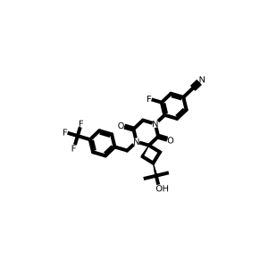 CC(C)(O)[C@H]1C[C@]2(C1)C(=O)N(c1ccc(C#N)cc1F)CC(=O)N2Cc1ccc(C(F)(F)F)cc1